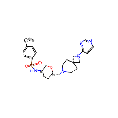 COc1ccc(S(=O)(=O)N[C@@H]2CC[C@@H](CN3CCC4(CC3)CN(c3ccncn3)C4)OC2)cc1